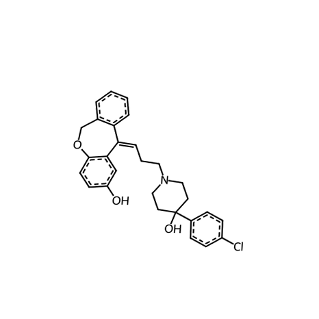 Oc1ccc2c(c1)C(=CCCN1CCC(O)(c3ccc(Cl)cc3)CC1)c1ccccc1CO2